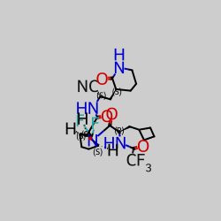 N#C[C@H](C[C@@H]1CCCNC1=O)NC(=O)[C@@H]1[C@@H]2CC[C@@H](CC2(F)F)N1C(=O)[C@@H](CC1CCC1)NC(=O)C(F)(F)F